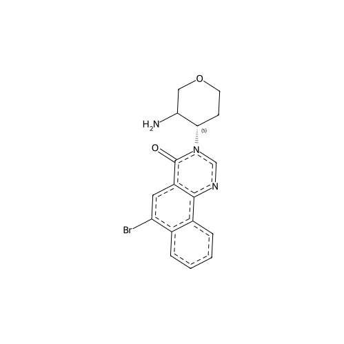 NC1COCC[C@@H]1n1cnc2c(cc(Br)c3ccccc32)c1=O